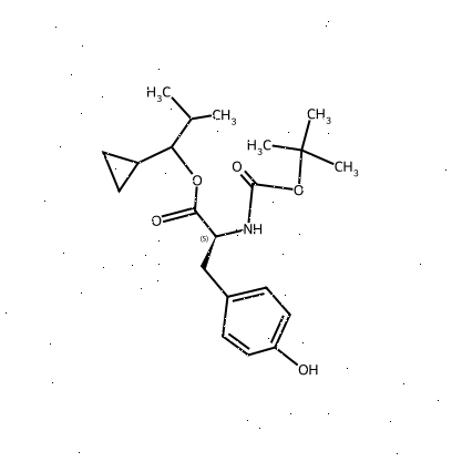 CC(C)C(OC(=O)[C@H](Cc1ccc(O)cc1)NC(=O)OC(C)(C)C)C1CC1